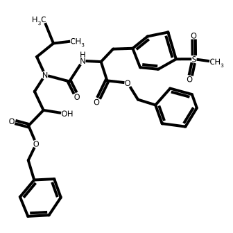 CC(C)CN(CC(O)C(=O)OCc1ccccc1)C(=O)NC(Cc1ccc(S(C)(=O)=O)cc1)C(=O)OCc1ccccc1